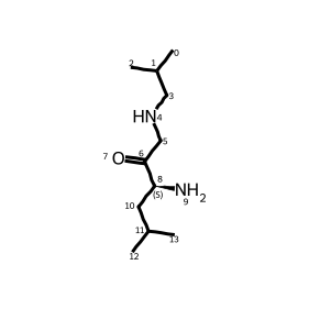 CC(C)CNCC(=O)[C@@H](N)CC(C)C